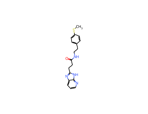 CSc1ccc(CCNC(=O)CCc2nc3cccnc3[nH]2)cc1